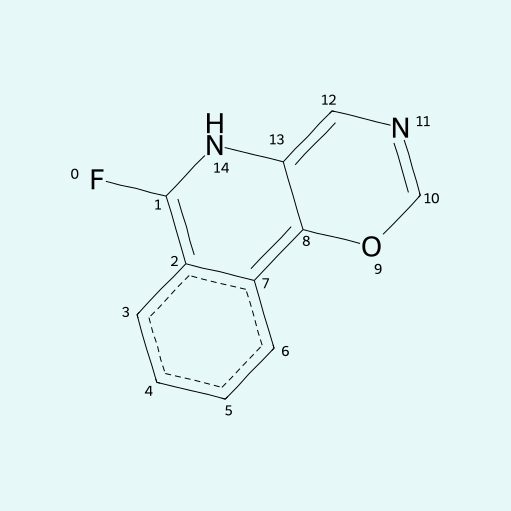 FC1=c2ccccc2=C2OC=NC=C2N1